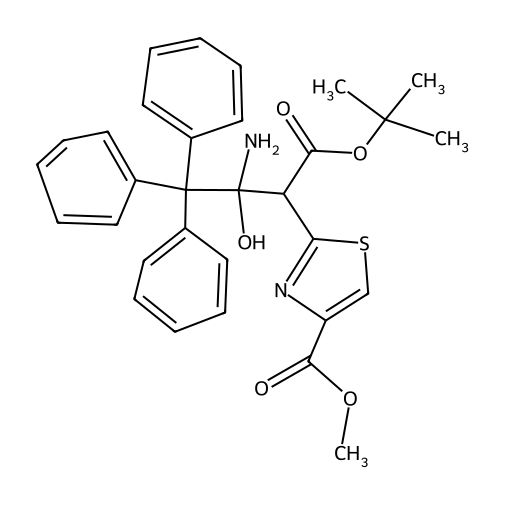 COC(=O)c1csc(C(C(=O)OC(C)(C)C)C(N)(O)C(c2ccccc2)(c2ccccc2)c2ccccc2)n1